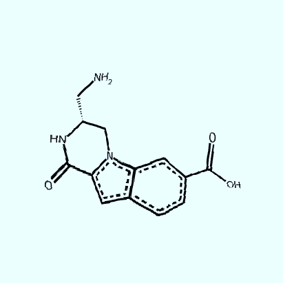 NC[C@@H]1Cn2c(cc3ccc(C(=O)O)cc32)C(=O)N1